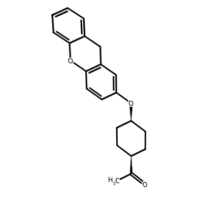 CC(=O)[C@H]1CC[C@@H](Oc2ccc3c(c2)Cc2ccccc2O3)CC1